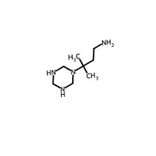 CC(C)(CCN)N1CNCNC1